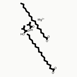 C=C(C)C(=O)O.C=C(C)C(=O)O.CCCCCCCCCCCCCCCCCC(=O)[O-].CCCCCCCCCCCCCCCCCC(=O)[O-].[Mg+2]